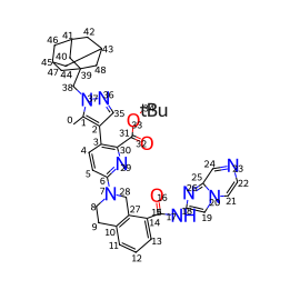 Cc1c(-c2ccc(N3CCc4cccc(C(=O)Nc5cn6ccncc6n5)c4C3)nc2C(=O)OC(C)(C)C)cnn1CC12CC3CC(CC(C3)C1)C2